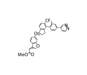 COC(=O)C[C@@H]1COc2cc(O[C@@H]3CCc4c3ccc(C(F)(F)F)c4-c3ccc(-c4ccnnc4)cc3)ccc21